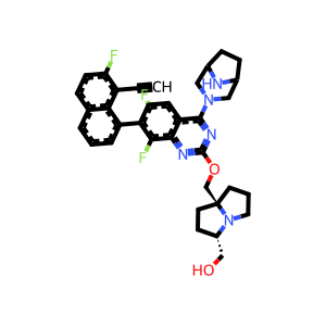 C#Cc1c(F)ccc2cccc(-c3c(F)cc4c(N5CC6CCC(C5)N6)nc(OC[C@@]56CCCN5[C@H](CO)CC6)nc4c3F)c12